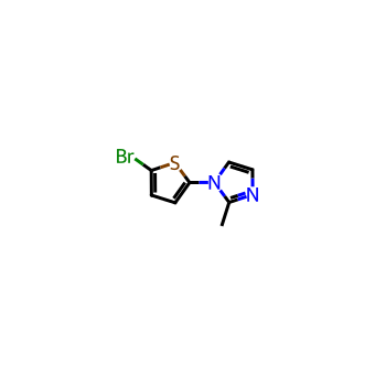 Cc1nccn1-c1ccc(Br)s1